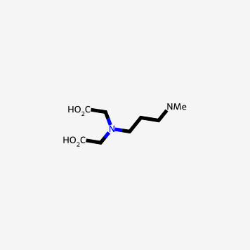 CNCCCN(CC(=O)O)CC(=O)O